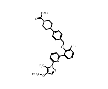 COC(=O)N1CCC(c2ccc(COc3c(-c4cccc(-n5ncc(OC(=O)O)c5C(F)(F)F)n4)cccc3C(F)(F)F)cc2)CC1